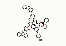 CC(C)(C)c1ccc(-c2cc(-c3ccccc3)c(N3c4cc(-n5c6ccccc6c6ccccc65)ccc4B4c5ccc(-c6ccc7oc8ccccc8c7c6)cc5Oc5cc(-c6ccc7c(c6)c6cccc8c9ccccc9n7c86)cc3c54)c(-c3ccccc3)c2)cc1